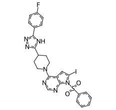 O=S(=O)(c1ccccc1)n1c(I)cc2c(N3CCC(c4nnc(-c5ccc(F)cc5)[nH]4)CC3)ncnc21